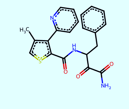 Cc1csc(C(=O)NC(Cc2ccccc2)C(=O)C(N)=O)c1-c1ccccn1